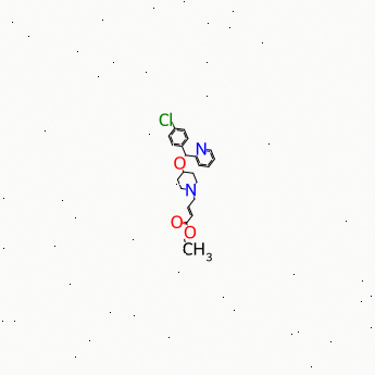 CCOC(=O)C=CCN1CCC(OC(c2ccc(Cl)cc2)c2ccccn2)CC1